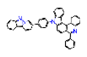 c1ccc(-c2nc3ccccc3c3c2ccc2c3c3ccccc3n2-c2ccc(-c3ccc4c5ccccc5nn4c3)cc2)cc1